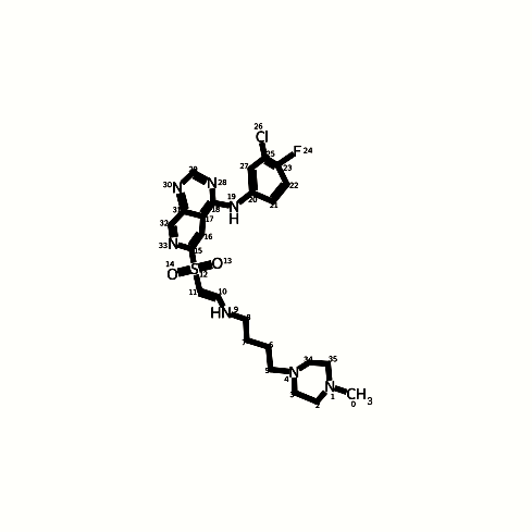 CN1CCN(CCCCNC=CS(=O)(=O)c2cc3c(Nc4ccc(F)c(Cl)c4)ncnc3cn2)CC1